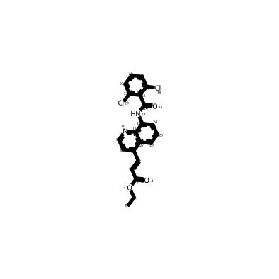 CCOC(=O)C=Cc1ccnc2c(NC(=O)c3c(Cl)cccc3Cl)cccc12